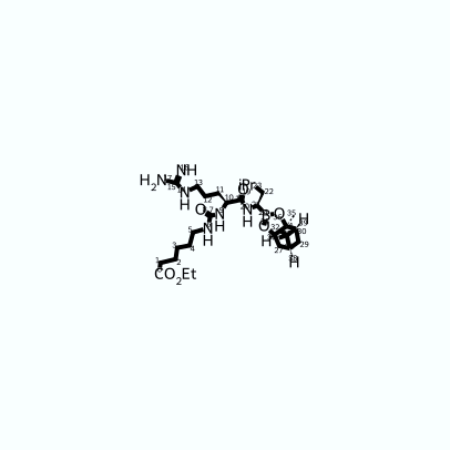 CCOC(=O)CCCCCNC(=O)N[C@@H](CCCNC(=N)N)C(=O)N[C@@H](CC(C)C)B1O[C@@H]2C[C@@H]3C[C@@H](C3(C)C)[C@]2(C)O1